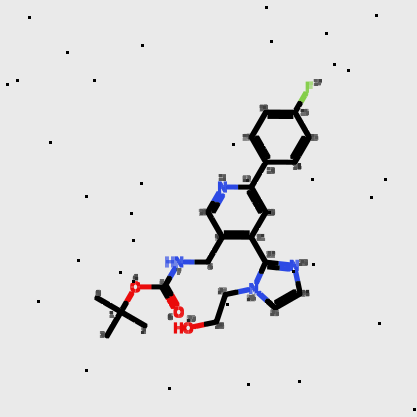 CC(C)(C)OC(=O)NCc1cnc(-c2ccc(F)cc2)cc1-c1nccn1CCO